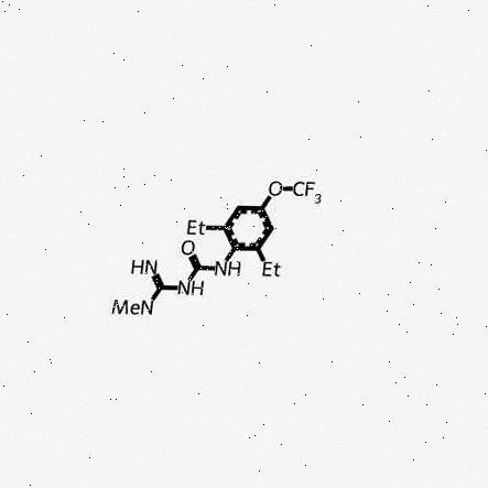 CCc1cc(OC(F)(F)F)cc(CC)c1NC(=O)NC(=N)NC